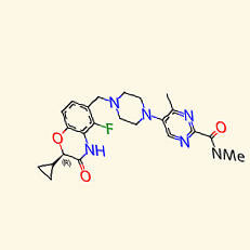 CNC(=O)c1ncc(N2CCN(Cc3ccc4c(c3F)NC(=O)[C@@H](C3CC3)O4)CC2)c(C)n1